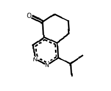 CC(C)c1nncc2c1CCCC2=O